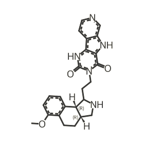 COc1cccc2c1CC[C@H]1CNC(CCn3c(=O)[nH]c4c([nH]c5cnccc54)c3=O)[C@@H]21